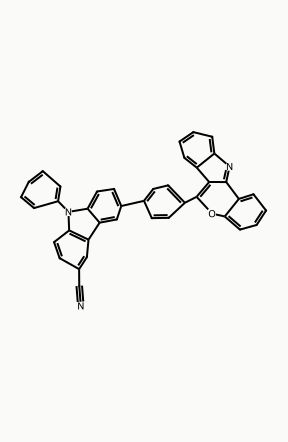 N#Cc1ccc2c(c1)c1cc(-c3ccc(-c4oc5ccccc5c5nc6ccccc6c4-5)cc3)ccc1n2-c1ccccc1